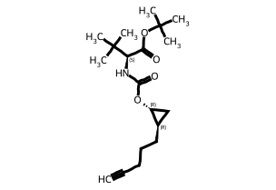 C#CCCC[C@@H]1C[C@H]1OC(=O)N[C@H](C(=O)OC(C)(C)C)C(C)(C)C